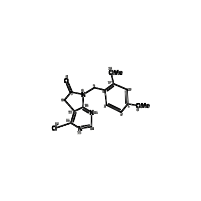 COc1ccc(CN2C(=O)Cc3c(Cl)ncnc32)c(OC)c1